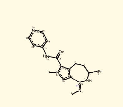 C/N=S1/NC(C(C)C)CCc2c1cn(C)c2C(=O)Nc1ccncc1